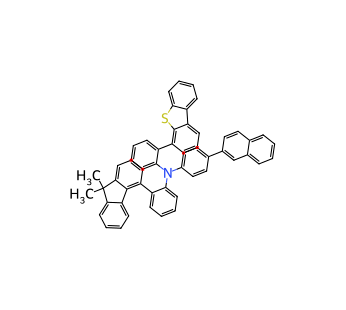 CC1(C)c2ccccc2-c2c(-c3ccccc3N(c3ccc(-c4ccc5ccccc5c4)cc3)c3ccccc3-c3cccc4c3sc3ccccc34)cccc21